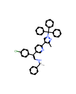 Cc1nn(C(c2ccccc2)(c2ccccc2)c2ccccc2)cc1-c1ccc(/C(=C\N[C@H](C)c2ccccc2)c2ccc(Cl)cc2)cn1